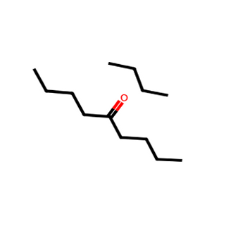 CCCC.CCCCC(=O)CCCC